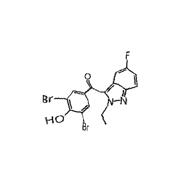 CCn1nc2ccc(F)cc2c1C(=O)c1cc(Br)c(O)c(Br)c1